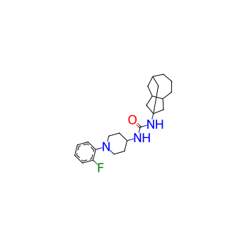 O=C(NC1CCN(c2ccccc2F)CC1)NC12CC3CCCC(C1)C(C3)C2